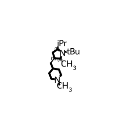 CC(C)[C@@H]1C[C@H](CC2CCN(C)CC2)[C@@H](C)N1C(C)(C)C